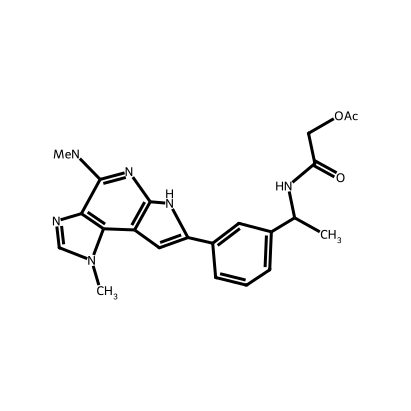 CNc1nc2[nH]c(-c3cccc(C(C)NC(=O)COC(C)=O)c3)cc2c2c1ncn2C